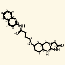 O=C(CCCOC1CCC2NC3NC(=O)CN3CC2C1)Nc1ccc2ccccc2n1